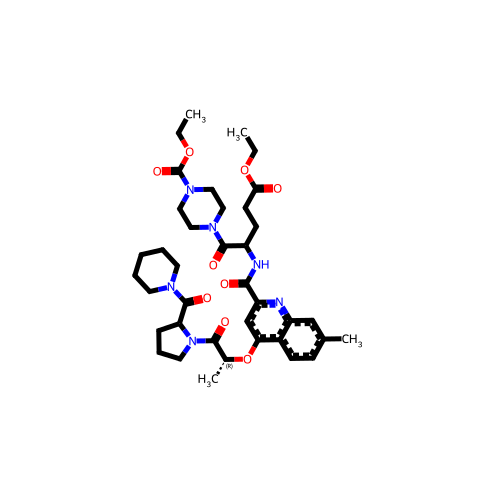 CCOC(=O)CCC(NC(=O)c1cc(O[C@H](C)C(=O)N2CCCC2C(=O)N2CCCCC2)c2ccc(C)cc2n1)C(=O)N1CCN(C(=O)OCC)CC1